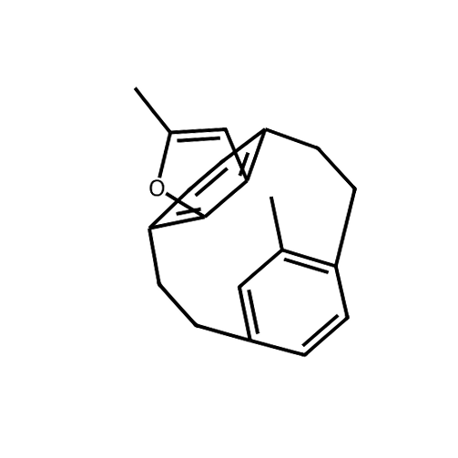 Cc1cc2c3ccc(c2o1)CCc1ccc(c(C)c1)CC3